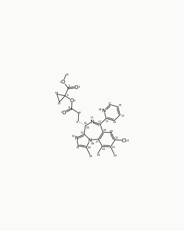 COC(=O)C1(OC(=O)CC[C@@H]2N=C(c3ccccn3)c3cc(Cl)c(C)c(C)c3-n3c(C)cnc32)CC1